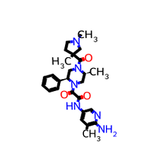 Cc1cc(NC(=O)C(=O)N2C[C@@H](C)N(C(=O)C3(C)CCN(C)C3)C[C@@H]2c2ccccc2)cnc1N